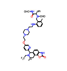 CCCC(C(=O)NC=O)N(C=O)Cc1c(C)cccc1NCCN1CCN(CCOc2ccc(C3c4ccc5[nH]c(=O)oc5c4C[C@@H](C)N3CC(F)(F)F)nc2)CC1